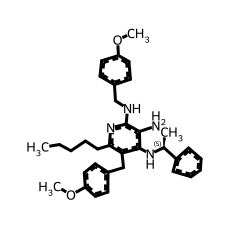 CCCCCc1nc(NCc2ccc(OC)cc2)c(N)c(N[C@@H](C)c2ccccc2)c1Cc1ccc(OC)cc1